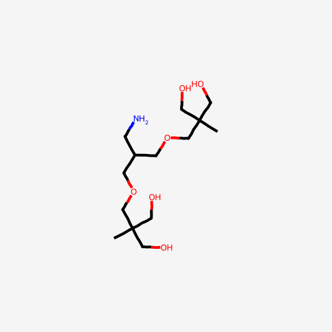 CC(CO)(CO)COCC(CN)COCC(C)(CO)CO